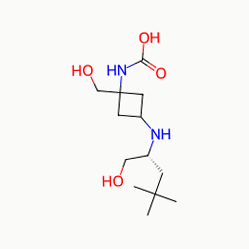 CC(C)(C)C[C@H](CO)NC1CC(CO)(NC(=O)O)C1